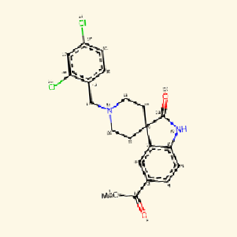 COC(=O)c1ccc2c(c1)C1(CCN(Cc3ccc(Cl)cc3Cl)CC1)C(=O)N2